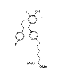 COC(CCCCOc1ccc([C@@H]2c3cc(F)c(O)c(F)c3CC[C@@H]2c2ccc(F)cc2)cc1)OC